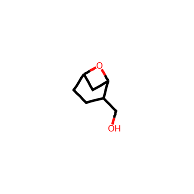 OCC1CCC2CC1O2